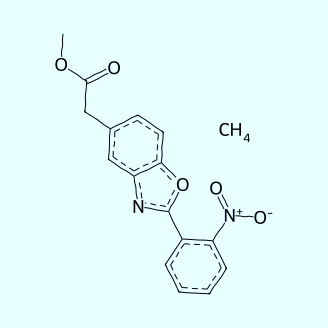 C.COC(=O)Cc1ccc2oc(-c3ccccc3[N+](=O)[O-])nc2c1